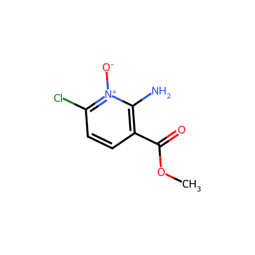 COC(=O)c1ccc(Cl)[n+]([O-])c1N